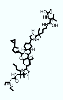 CCCC[C@@](C)(NC(=O)C[C@@H](CC)OCC)C1(C)NC[C@H]([C@@H]2C=C(F)[C@H]3C(C2)OC(C2=CCC(C4CC4)S2)N2C3C[C@@H]3CC(C4CN[C@H]([C@](C)(CC)CCCN[C@H](O)[C@@H](NC(O)OC)C(C)C)N4)=CC[C@@H]32)N1